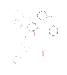 COC(=O)OCOP(=O)(OCOC(=O)OC)OCOc1c2n(c(-c3cc(F)c(F)c4c3Cc3ccccc3SC4)cc1=O)N[C@@H]1CCCC3(CC3)N1C2=O